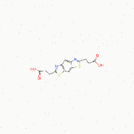 O=C(O)CCc1nc2cc3nc(CCC(=O)O)sc3cc2s1